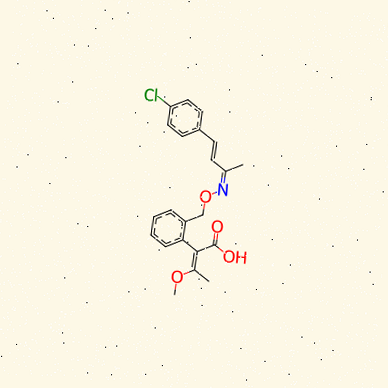 COC(C)=C(C(=O)O)c1ccccc1CON=C(C)C=Cc1ccc(Cl)cc1